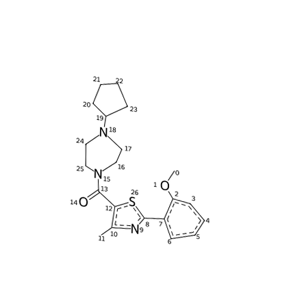 COc1ccccc1-c1nc(C)c(C(=O)N2CCN(C3CCCC3)CC2)s1